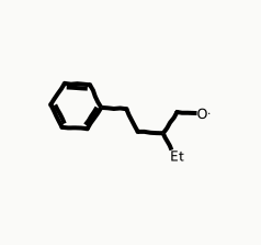 CCC(C[O])CCc1ccccc1